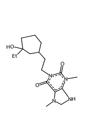 CCC1(O)CCCC(CCn2c(=O)c3c(n(C)c2=O)NCN3C)C1